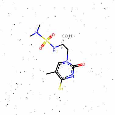 Cc1cn(C[C@H](NS(=O)(=O)N(C)C)C(=O)O)c(=O)nc1S